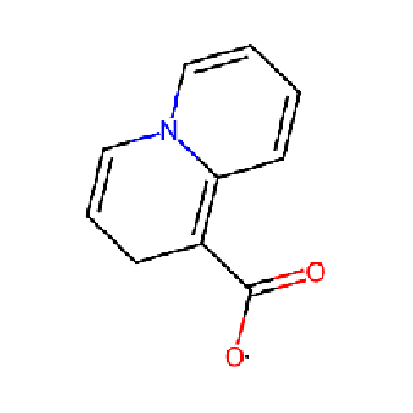 [O]C(=O)C1=C2C=CC=CN2C=CC1